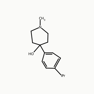 CC(C)c1ccc(C2(O)CCN(C)CC2)cc1